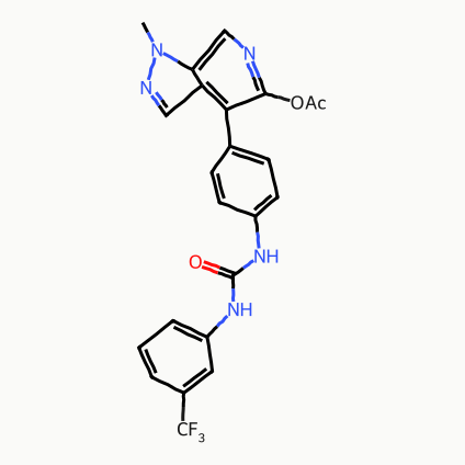 CC(=O)Oc1ncc2c(cnn2C)c1-c1ccc(NC(=O)Nc2cccc(C(F)(F)F)c2)cc1